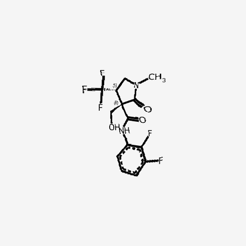 CN1C[C@@H](C(F)(F)F)[C@@](CO)(C(=O)Nc2cccc(F)c2F)C1=O